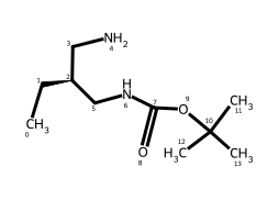 CC[C@@H](CN)CNC(=O)OC(C)(C)C